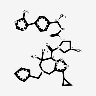 Cc1ncsc1-c1ccc([C@H](C)NC(=O)[C@@H]2C[C@@H](O)CN2C(=O)[C@H]2n3nnc(C4CC4)c3CN(Cc3ccccc3)CC2(C)C)cc1